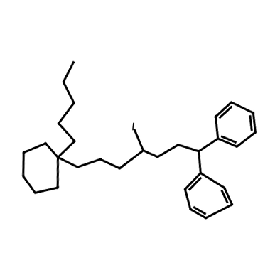 CCCCCC1(CCCC(I)CCC(c2ccccc2)c2ccccc2)CCCCC1